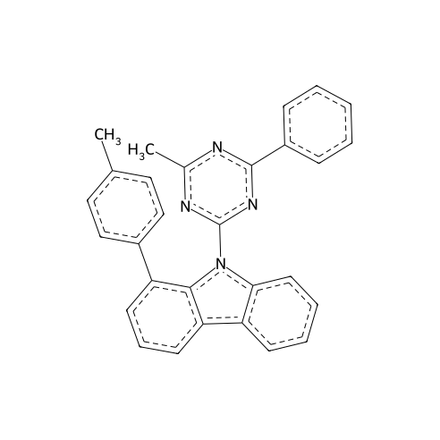 Cc1ccc(-c2cccc3c4ccccc4n(-c4nc(C)nc(-c5ccccc5)n4)c23)cc1